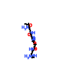 CCCC(C)C(=O)C(N)CCCCNC(=O)CCc1cn(C(C)(C)COC(C)(C)CCC(=O)NCCCCC(N)NC(C)C)nn1